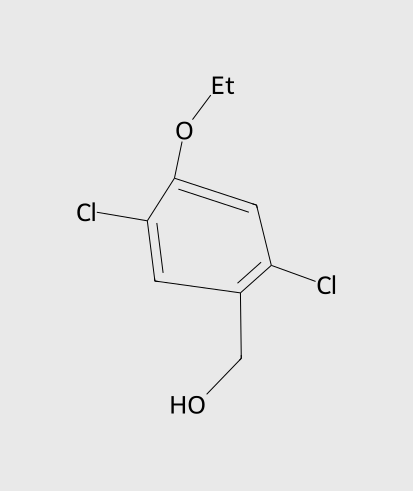 CCOc1cc(Cl)c(CO)cc1Cl